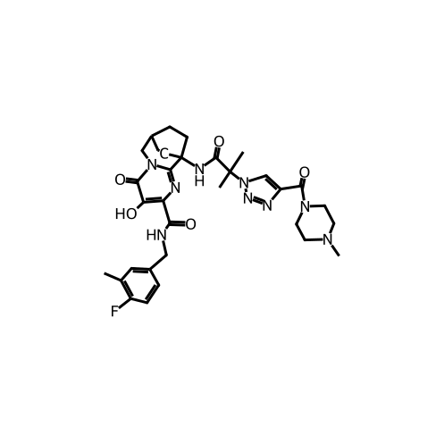 Cc1cc(CNC(=O)c2nc3n(c(=O)c2O)CC2CCC3(NC(=O)C(C)(C)n3cc(C(=O)N4CCN(C)CC4)nn3)CC2)ccc1F